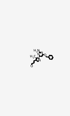 Cc1c(C=CC=O)cnn1-c1cc(OCc2ccccc2)nc(N)n1